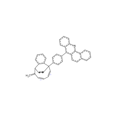 C=C1/C=C\C=C/C2(c3ccc(-c4c5ccccc5nc5c4ccc4ccccc45)cc3)c3ccccc3C1c1ccccc12